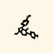 CCc1nn(-c2ccc(OC)cc2)c2c1CCN(c1ccc(F)cc1)C2=O